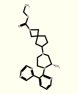 CCOC(=O)N1CC2(CCC(N3CCN(c4ncccc4-c4cnccn4)[C@@H](C)C3)C2)C1